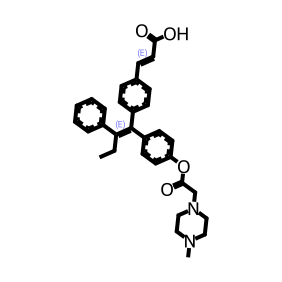 CC/C(=C(/c1ccc(/C=C/C(=O)O)cc1)c1ccc(OC(=O)CN2CCN(C)CC2)cc1)c1ccccc1